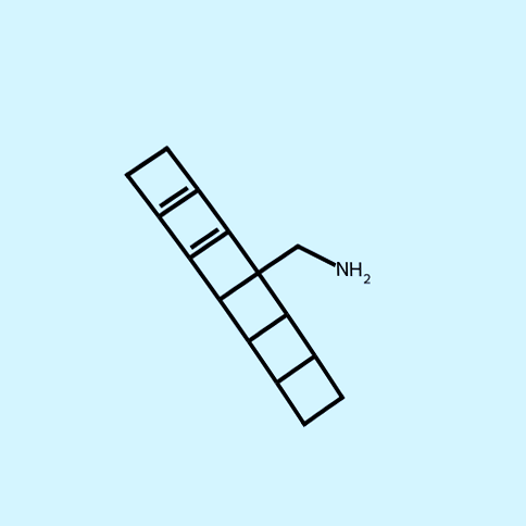 NCC12C3=C(C4=C3CC4)C1C1C3CCC3C12